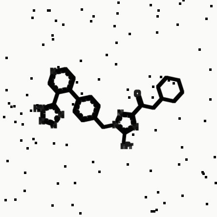 CCCc1nc(C(=O)CC2CCCCC2)nn1Cc1ccc(-c2ccncc2-c2nnn[nH]2)cc1